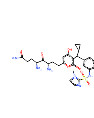 Cn1ccnc1S(=O)(=O)Nc1cccc(C(c2c(O)cc(CCC(N)C(=O)[C@@H](N)CCC(N)=O)oc2=O)C2CC2)c1